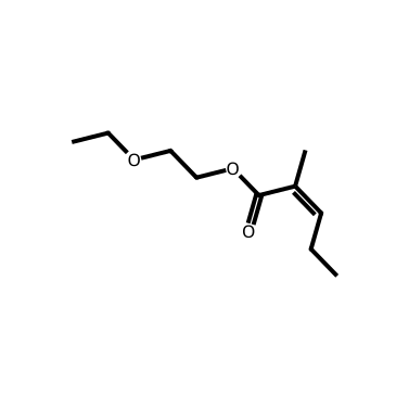 CCC=C(C)C(=O)OCCOCC